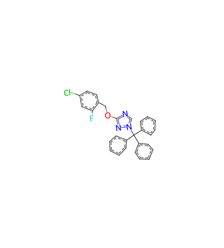 Fc1cc(Cl)ccc1COc1ncn(C(c2ccccc2)(c2ccccc2)c2ccccc2)n1